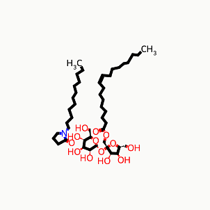 CCCCCCCC/C=C\CCCCCCCC(=O)OC[C@@]1(O[C@H]2O[C@H](CO)[C@@H](O)[C@H](O)[C@H]2O)O[C@H](CO)[C@@H](O)[C@@H]1O.CCCCCCCCCCCCN1CCCC1=O